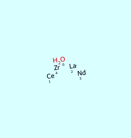 O.[Ce].[La].[Nd].[Zr]